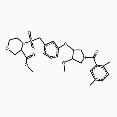 COC(=O)C1COCCN1S(=O)(=O)Cc1cccc(OC2CN(C(=O)c3cc(C)ccc3C)CC2OC)c1